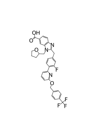 O=C(O)c1ccc2nc(Cc3ccc(-c4cccc(OCc5ccc(C(F)(F)F)cc5)n4)c(F)c3)n(CC3CCCO3)c2c1